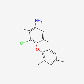 Cc1ccc(Oc2c(C)cc(N)c(C)c2Cl)c(C)c1